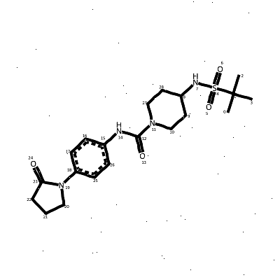 CC(C)(C)S(=O)(=O)NC1CCN(C(=O)Nc2ccc(N3CCCC3=O)cc2)CC1